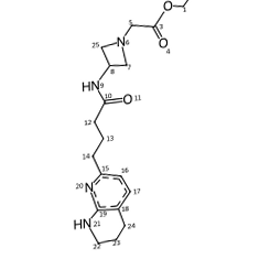 CCOC(=O)CN1CC(NC(=O)CCCc2ccc3c(n2)NCCC3)C1